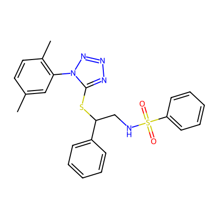 Cc1ccc(C)c(-n2nnnc2SC(CNS(=O)(=O)c2ccccc2)c2ccccc2)c1